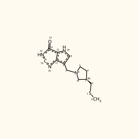 CSC[C@@H]1CCN(Cc2c[nH]c3c(=O)[nH]cnc23)C1